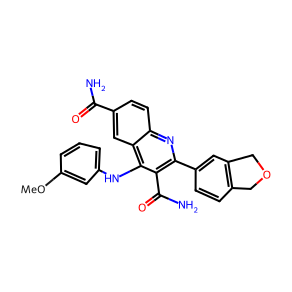 COc1cccc(Nc2c(C(N)=O)c(-c3ccc4c(c3)COC4)nc3ccc(C(N)=O)cc23)c1